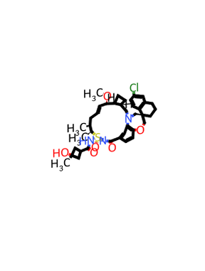 CO[C@H]1/C=C/C[C@H](C)[C@@H](C)S(=O)(NC(=O)C2CC(C)(O)C2)=NC(=O)c2ccc3c(c2)N(C[C@@H]2CC[C@H]21)C[C@@]1(CCCc2cc(Cl)ccc21)CO3